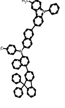 Cc1ccc(N(c2ccc3cc(-c4ccc5c(c4)c4cc(C)ccc4n5-c4ccccc4)ccc3c2)c2ccc(-c3ccc4c(c3)C(c3ccccc3)(c3ccccc3)c3ccccc3-4)c3ccccc23)cc1